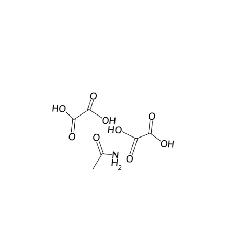 CC(N)=O.O=C(O)C(=O)O.O=C(O)C(=O)O